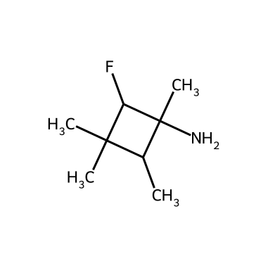 CC1C(C)(C)C(F)C1(C)N